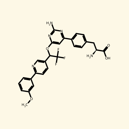 COc1cccc(-c2ccc(C(Oc3cc(-c4ccc(C[C@H](N)C(=O)O)cc4)nc(N)n3)C(F)(F)F)cn2)c1